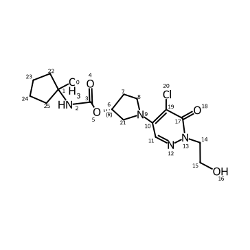 CC1(NC(=O)O[C@@H]2CCN(c3cnn(CCO)c(=O)c3Cl)C2)CCCC1